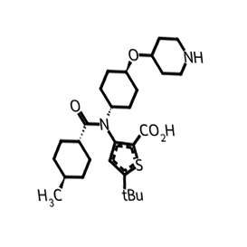 CC(C)(C)c1cc(N(C(=O)[C@H]2CC[C@H](C)CC2)[C@H]2CC[C@H](OC3CCNCC3)CC2)c(C(=O)O)s1